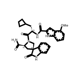 COc1cccc2[nH]c(C(=O)N[C@@H](CC3CCC3)C(=O)N3C[C@]4(C[C@H]3C(N)=O)C(=O)Nc3ccccc34)cc12